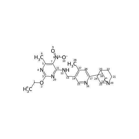 CCOc1nc(C)c([N+](=O)[O-])c(NCc2cnc(C3CN4CCC3CC4)cc2C)n1